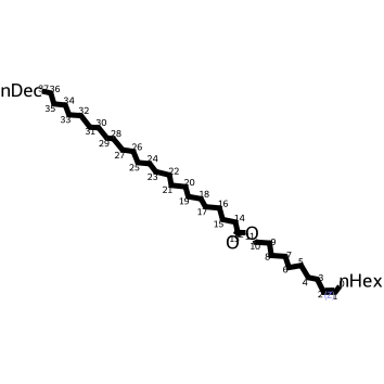 CCCCCC/C=C\CCCCCCCCOC(=O)CCCCCCCCCCCCCCCCCCCCCCCCCCCCCCCCC